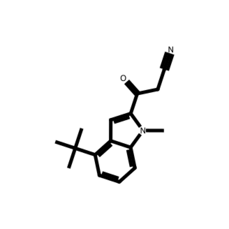 Cn1c(C(=O)CC#N)cc2c(C(C)(C)C)cccc21